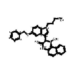 CC(=O)ON1c2c(ccc3ccccc23)NC(=O)C1c1cn(CCCN)c2ccc(OCc3ccccc3)cc12